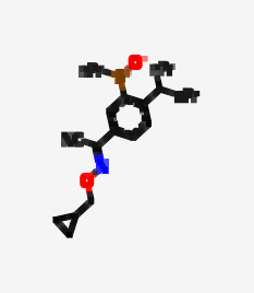 CCCC(CCC)c1ccc(/C(C#N)=N/OCC2CC2)cc1[S+]([O-])CCC